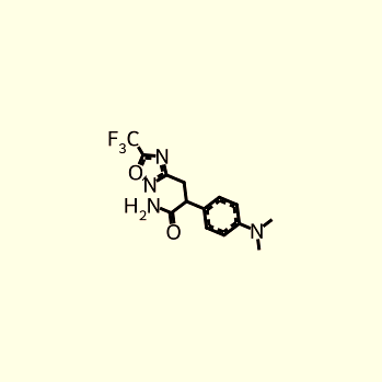 CN(C)c1ccc(C(Cc2noc(C(F)(F)F)n2)C(N)=O)cc1